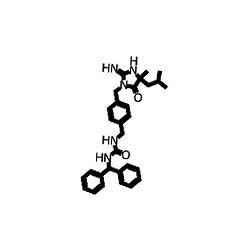 CC(C)CC1(C)NC(=N)N(Cc2ccc(CNC(=O)NC(c3ccccc3)c3ccccc3)cc2)C1=O